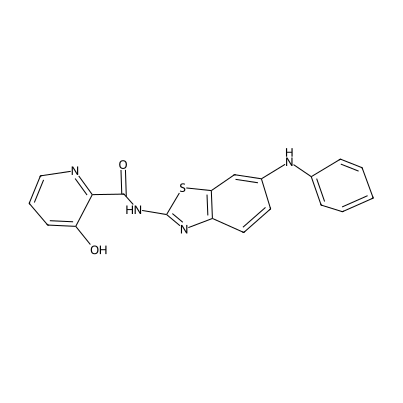 O=C(Nc1nc2ccc(Nc3ccccc3)cc2s1)c1ncccc1O